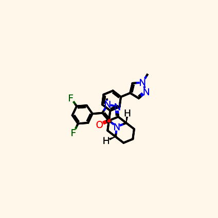 Cn1cc(-c2cccc(C(=O)N3[C@@H]4CCC[C@H]3c3nn(C)c(-c5cc(F)cc(F)c5)c3C4)c2)cn1